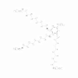 [CH2]CCCc1cc(SCCCCCCCCCCCCCCCCCCC)c(SCCCCCCCCCCCCCCCCCCC)c(SCCCCCCCCCCCCCCCCCCC)c1